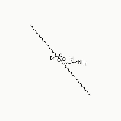 CCCCCCCCCCCCCCCCC(Br)C(=O)OC(=O)CN(CCCCCCCCCCCCCCCC)CCNCCN